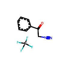 F[B-](F)(F)F.N#[N+]CC(=O)c1ccccc1